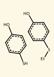 CCSc1ccc(O)cc1.Oc1ccc(S)cc1